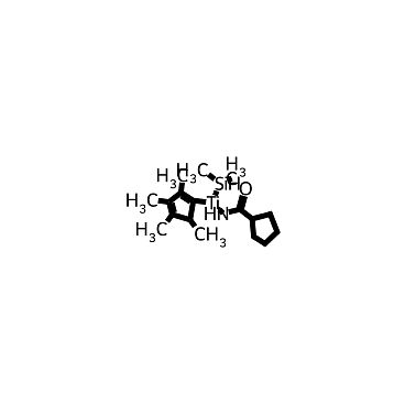 CC1=C(C)C(C)[C]([Ti]([NH]C(=O)C2CCCC2)[SiH](C)C)=C1C